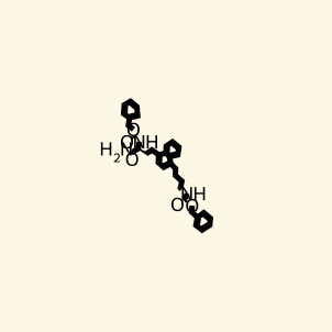 NC(=O)[C@H](CCc1ccc(CCCCNC(=O)OCc2ccccc2)c2ccccc12)NC(=O)OCc1ccccc1